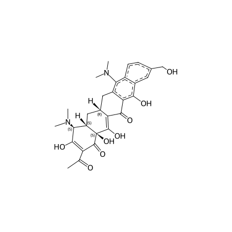 CC(=O)C1=C(O)[C@@H](N(C)C)[C@@H]2C[C@@H]3Cc4c(c(O)c5cc(CO)ccc5c4N(C)C)C(=O)C3=C(O)[C@]2(O)C1=O